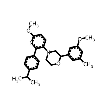 COc1cc(C)cc(C2CN(c3ccc(OC)nc3-c3ccc(C(C)C)cc3)CCO2)c1